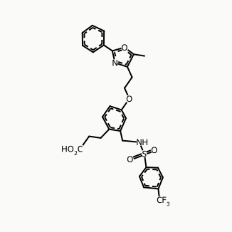 Cc1oc(-c2ccccc2)nc1CCOc1ccc(CCC(=O)O)c(CNS(=O)(=O)c2ccc(C(F)(F)F)cc2)c1